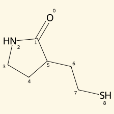 O=C1NCCC1CCS